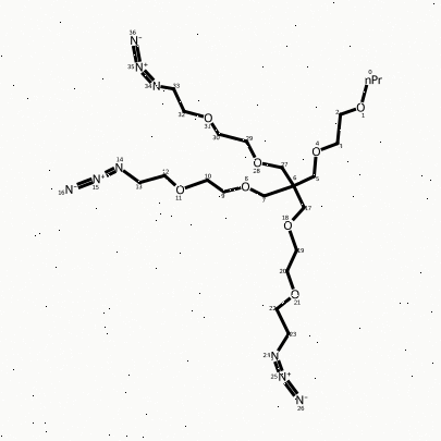 CCCOCCOCC(COCCOCCN=[N+]=[N-])(COCCOCCN=[N+]=[N-])COCCOCCN=[N+]=[N-]